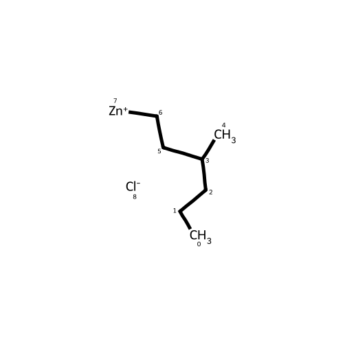 CCCC(C)C[CH2][Zn+].[Cl-]